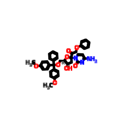 COc1ccc(C(OC[C@H]2O[C@@](C(=O)COc3ccccc3)(n3ccc(N)nc3=O)C[C@@H]2O)(c2ccccc2)c2ccc(OC)cc2)cc1